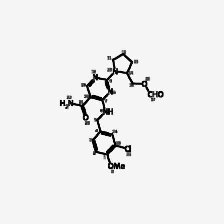 COc1ccc(CNc2nc(N3CCCC3COC=O)ncc2C(N)=O)cc1Cl